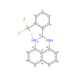 FC(F)(F)c1ccccc1C1Nc2cccc3cccc(c23)N1